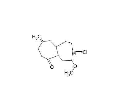 C=C1CCC(=O)C2CC(OC)[C@H](Cl)CCC2C1